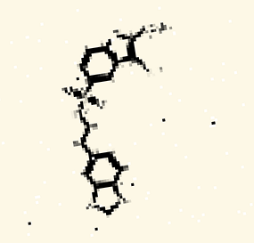 CCOC(=O)c1oc2ccc(S(=O)(=O)NCCc3ccc4c(c3)OCO4)cc2c1C